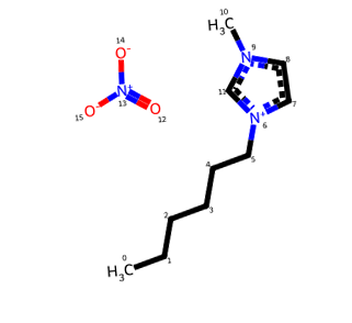 CCCCCC[n+]1ccn(C)c1.O=[N+]([O-])[O-]